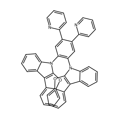 c1ccc(-c2cc(-n3c4ccccc4c4c5ccccc5oc43)c(-n3c4ccccc4c4c5ccccc5oc43)cc2-c2ccccn2)nc1